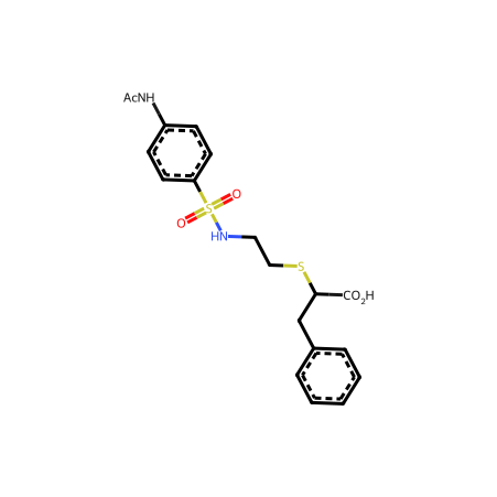 CC(=O)Nc1ccc(S(=O)(=O)NCCSC(Cc2ccccc2)C(=O)O)cc1